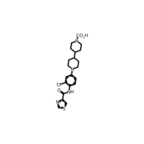 O=C(Nc1ccc(N2CCC(C3CCN(C(=O)O)CC3)CC2)cc1Cl)c1cscn1